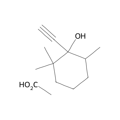 C#CC1(O)C(C)CCCC1(C)C.CC(=O)O